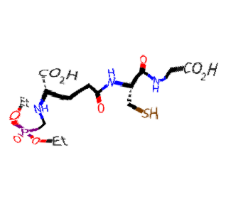 CCOP(=O)(CN[C@@H](CCC(=O)N[C@@H](CS)C(=O)NCC(=O)O)C(=O)O)OCC